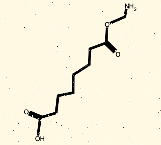 NCOC(=O)CCCCCCC(=O)O